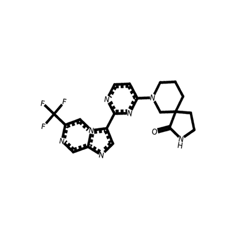 O=C1NCCC12CCCN(c1ccnc(-c3cnc4cnc(C(F)(F)F)cn34)n1)C2